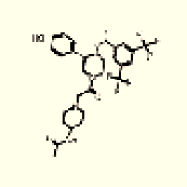 CC(=O)NC1CCN(CC(=O)N2CC[C@H](O[C@H](C)c3cc(C(F)(F)F)cc(C(F)(F)F)c3)[C@H](c3ccccc3)C2)CC1.Cl